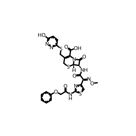 CON=C(C(=O)N[C@@H]1C(=O)N2C(C(=O)O)=C(CSc3ccc(O)nn3)CS[C@@H]12)c1csc(NC(=O)COc2ccccc2)n1